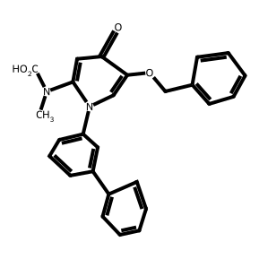 CN(C(=O)O)c1cc(=O)c(OCc2ccccc2)cn1-c1cccc(-c2ccccc2)c1